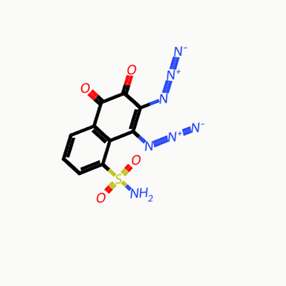 [N-]=[N+]=NC1=C(N=[N+]=[N-])c2c(cccc2S(N)(=O)=O)C(=O)C1=O